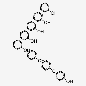 Oc1ccccc1.Oc1ccccc1.Oc1ccccc1.Oc1ccccc1.Oc1ccccc1.Oc1ccccc1.Oc1ccccc1.Oc1ccccc1